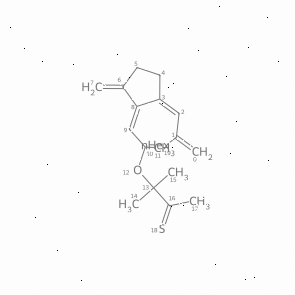 C=C(/C=C1/CCC(=C)/C1=C/C(C)OC(C)(C)C(C)=S)CCCCCC